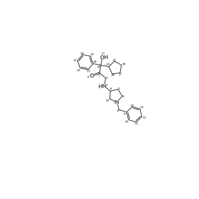 O=C(CNC1CCN(Cc2ccccc2)C1)C(O)(c1ccccc1)C1CCCC1